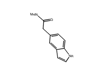 CNC(=O)Cc1ccc2[nH]ccc2c1